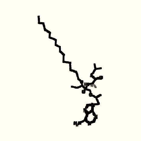 CCCCCCCCCCCCCCCCOC(CC)P(=O)(COC(C)Cn1cnc2c(N)ncnc21)N[C@@H](C)C(=O)SC(C)C